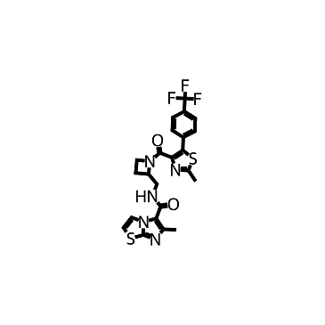 Cc1nc(C(=O)N2CCC2CNC(=O)c2c(C)nc3sccn23)c(-c2ccc(C(F)(F)F)cc2)s1